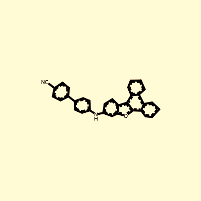 N#Cc1ccc(-c2ccc(Nc3ccc4c(c3)oc3c5ccccc5c5ccccc5c43)cc2)cc1